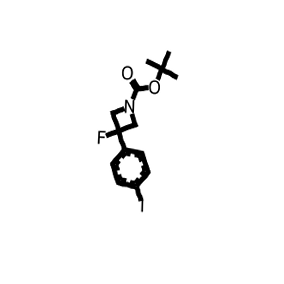 CC(C)(C)OC(=O)N1CC(F)(c2ccc(I)cc2)C1